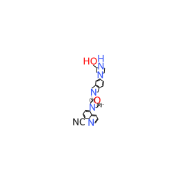 C[C@@H]1CN(c2ccc(C#N)c3ncccc23)C[C@H](CN2Cc3ccc(N4CCNC(CO)C4)cc3C2)O1